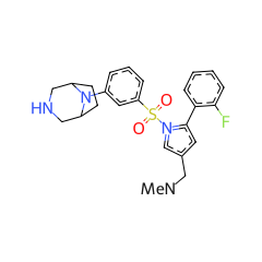 CNCc1cc(-c2ccccc2F)n(S(=O)(=O)c2cccc(N3C4CCC3CNC4)c2)c1